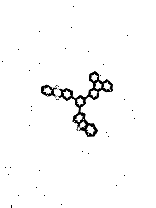 c1ccc2c(c1)Oc1ccc(-c3cc(-c4ccc5oc6ccccc6c5c4)cc(-c4ccc5c6ccccc6c6ccccc6c5c4)c3)cc1O2